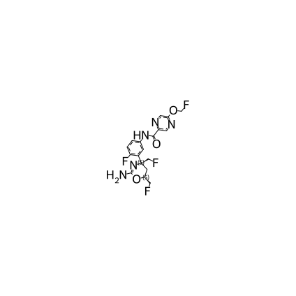 NC1=N[C@](CF)(c2cc(NC(=O)c3cnc(OCF)cn3)ccc2F)C[C@@H](CF)O1